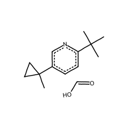 CC(C)(C)c1ccc(C2(C)CC2)cn1.O=CO